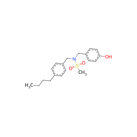 CCCCc1ccc(CN(Cc2ccc(O)cc2)S(C)(=O)=O)cc1